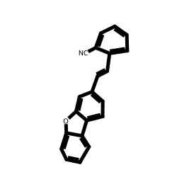 N#Cc1ccccc1C=Cc1ccc2c(c1)oc1ccccc12